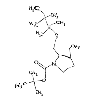 CC(C)(C)OC(=O)N1CCC(O)C1CO[Si](C)(C)C(C)(C)C